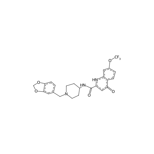 O=C(NC1CCN(Cc2ccc3c(c2)OCO3)CC1)c1cc(=O)c2ccc(OC(F)(F)F)cc2[nH]1